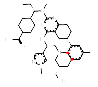 CC[C@H](C1CCC(C(=O)O)CC1)N(C)c1nc2c(c(N[C@@H](CN3CCC[C@H](CO)C3)c3cnn(C)c3)n1)C[C@H](c1cccc(F)c1)CC2